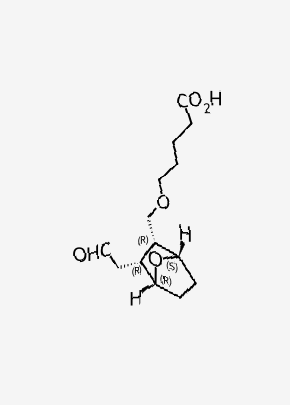 O=CC[C@@H]1[C@H](COCCCCC(=O)O)[C@@H]2CC[C@H]1O2